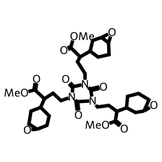 COC(=O)C(CCn1c(=O)n(CCC(C(=O)OC)C2CCC3OC3C2)c(=O)n(CCC(C(=O)OC)C2CCC3OC3C2)c1=O)C1CCC2OC2C1